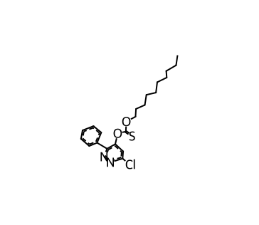 CCCCCCCCCCOC(=S)Oc1cc(Cl)nnc1-c1ccccc1